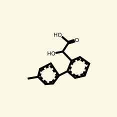 Cc1ccc(-c2ccccc2C(O)C(=O)O)cc1